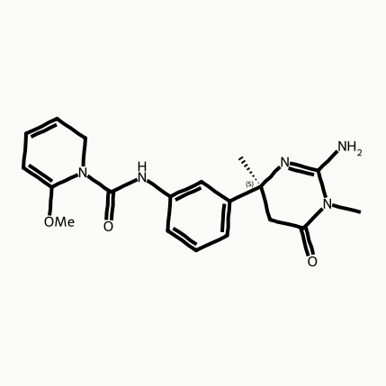 COC1=CC=CCN1C(=O)Nc1cccc([C@]2(C)CC(=O)N(C)C(N)=N2)c1